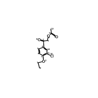 CCOc1ccc(C(=O)COC(C)=O)cc1Cl